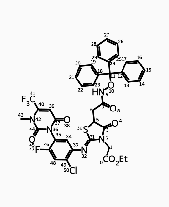 CCOC(=O)CN1C(=O)C(CC(=O)NOC(c2ccccc2)(c2ccccc2)c2ccccc2)SC1=Nc1cc(-n2c(=O)cc(C(F)(F)F)n(C)c2=O)c(F)cc1Cl